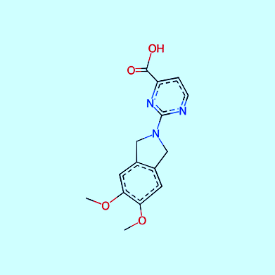 COc1cc2c(cc1OC)CN(c1nccc(C(=O)O)n1)C2